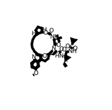 C=C[C@@H]1C[C@]1(NC(=O)[C@@H]1C[C@]23CCc4c(c(nc5ccc(OC)cc45)CCCCC[C@@H]4CCC[C@H]4OC(=O)N[C@@H](C(C)(C)C)C(=O)N1C2)O3)C(=O)NS(=O)(=O)C1CC1